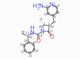 C[C@@H]1[C@@H](Cc2ccnc(N)c2)C(=O)N1C(=O)N[C@H](C)c1ccccc1